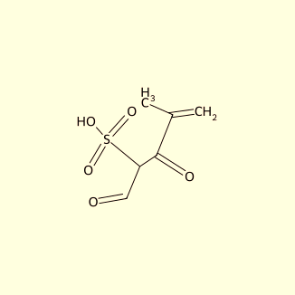 C=C(C)C(=O)C(C=O)S(=O)(=O)O